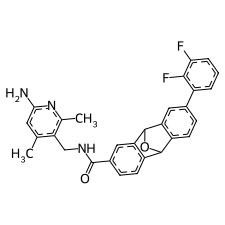 Cc1cc(N)nc(C)c1CNC(=O)c1ccc2c(c1)C1OC2c2ccc(-c3cccc(F)c3F)cc21